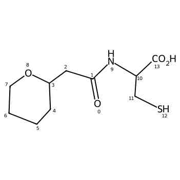 O=C(CC1CCCCO1)NC(CS)C(=O)O